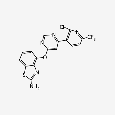 Nc1nc2c(Oc3cc(-c4ccc(C(F)(F)F)nc4Cl)ncn3)cccc2s1